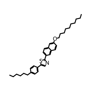 CCCCCCCCCCOc1ccc2cc(-c3ncc(-c4ccc(CCCCCC)cc4)s3)ccc2c1